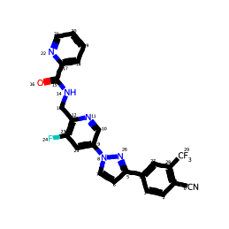 N#Cc1ccc(-c2ccn(-c3cnc(CNC(=O)c4ccccn4)c(F)c3)n2)cc1C(F)(F)F